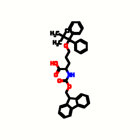 CC(C)(C)[Si](OCCCC(NC(=O)OCC1c2ccccc2-c2ccccc21)C(=O)O)(c1ccccc1)c1ccccc1